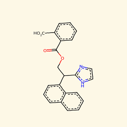 O=C(O)c1ccccc1C(=O)OCC(c1ncc[nH]1)c1cccc2ccccc12